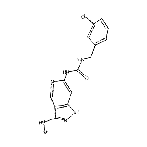 CCNc1n[nH]c2cc(NC(=O)NCc3cccc(Cl)c3)ncc12